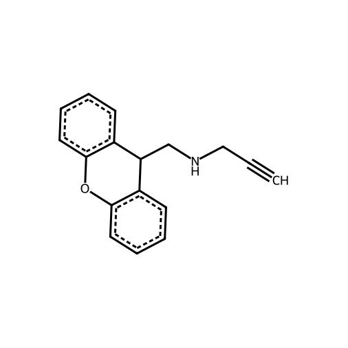 C#CCNCC1c2ccccc2Oc2ccccc21